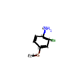 CCSc1ccc(N)c(Br)c1